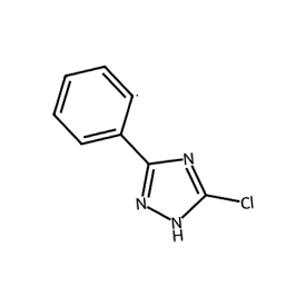 Clc1nc(-c2[c]cccc2)n[nH]1